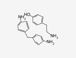 NCCc1ccc(O)cc1.Nc1ccc(Cc2ccc(N)cc2)cc1